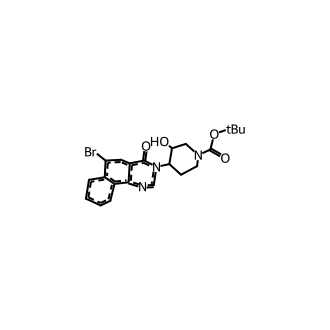 CC(C)(C)OC(=O)N1CCC(n2cnc3c(cc(Br)c4ccccc43)c2=O)C(O)C1